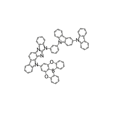 c1cc(-n2c3ccccc3c3cc(-n4c5ccccc5c5ccccc54)ccc32)cc(-n2c3ccccc3n3c4ccc5c6ccccc6n(-c6cc7c8c(c6)Oc6ccccc6B8c6ccccc6O7)c5c4nc23)c1